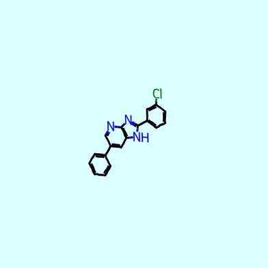 Clc1cccc(-c2nc3ncc(-c4ccccc4)cc3[nH]2)c1